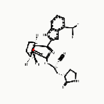 N#C[C@H](C[C@@H]1CCNC1=O)NC(=O)[C@@H]1[C@H]2CC[C@H](CC2(F)F)N1C(=O)c1cc2c(C(F)F)cccc2[nH]1